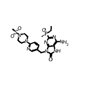 CC[P@@](C)(=O)c1nc(N)c2[nH]c(=O)n(Cc3ccc(N4CCN(S(C)(=O)=O)CC4)nc3)c2n1